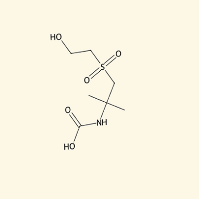 CC(C)(CS(=O)(=O)CCO)NC(=O)O